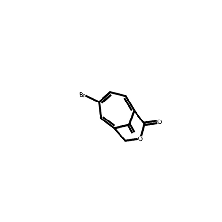 C=C1C2=CC(Br)=CC=C1C(=O)OC2